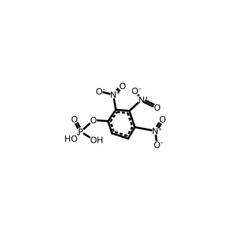 O=[N+]([O-])c1ccc(OP(=O)(O)O)c([N+](=O)[O-])c1[N+](=O)[O-]